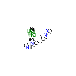 Cc1cc(Cc2cc(C(C)C)c(N=Cc3ccccn3)c(C(C)C)c2)cc(C)c1N=Cc1ccccn1.Cl.Cl.Cl.Cl.[Ni].[Ni]